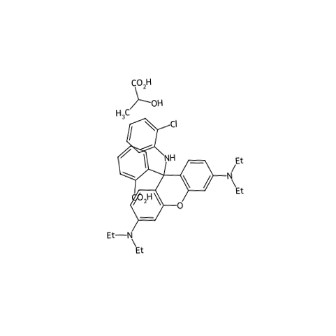 CC(O)C(=O)O.CCN(CC)c1ccc2c(c1)Oc1cc(N(CC)CC)ccc1C2(Nc1ccccc1Cl)c1ccccc1C(=O)O